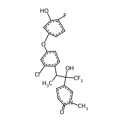 CC(c1ccc(Oc2ccc(F)c(O)c2)cc1Cl)C(O)(c1ccc(=O)n(C)c1)C(F)(F)F